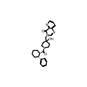 O=C([C@@H]1CCCC[C@H]1c1ccccc1)N1CCC(O)(Cn2cnc3cccnc3c2=O)CC1